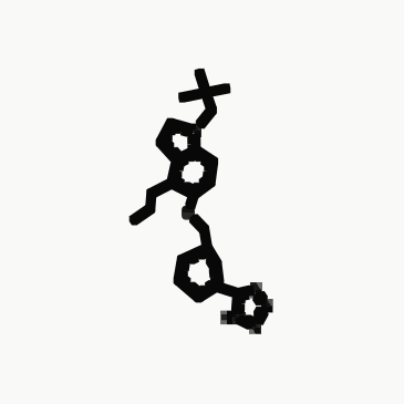 CCCc1c(OCc2cccc(-c3nnn[nH]3)c2)ccc2c1ccn2CC(C)(C)C